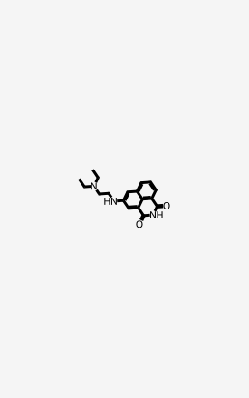 CCN(CC)CCNc1cc2c3c(cccc3c1)C(=O)NC2=O